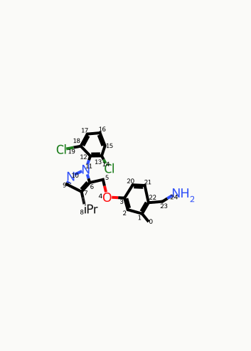 Cc1cc(OCc2c(C(C)C)cnn2-c2c(Cl)cccc2Cl)ccc1CN